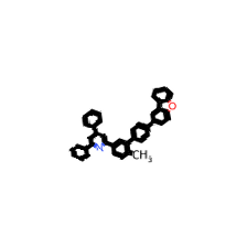 Cc1ccc(-c2cc(-c3ccccc3)cc(-c3ccccc3)n2)cc1-c1ccc(-c2ccc3oc4ccccc4c3c2)cc1